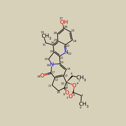 CCC(=O)O[C@]1(CC)C(=O)CCc2c1cc1n(c2=O)Cc2c-1nc1ccc(O)cc1c2CC